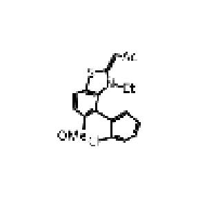 CCN1C(=CC(C)=O)Sc2ccc(OC)c(-c3ccccc3Cl)c21